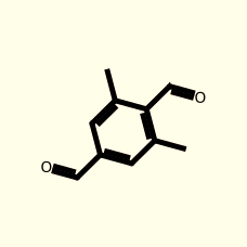 Cc1cc(C=O)cc(C)c1[C]=O